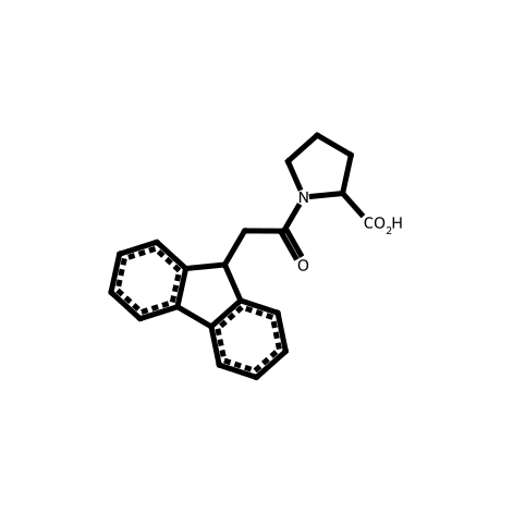 O=C(O)C1CCCN1C(=O)CC1c2ccccc2-c2ccccc21